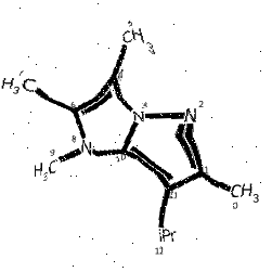 Cc1nn2c(C)c(C)n(C)c2c1C(C)C